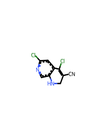 N#CC1=C(Cl)c2cc(Cl)ncc2NC1